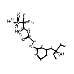 CCC(O)(CC)CC1CCCC(OCC(=O)OC(O)C(F)(F)S(=O)(=O)O)C1